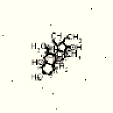 CCC1C(CC)[C@H]2[C@@H]3C(CC)CC4(O)CC(O)CC[C@]4(C)[C@@H]3CC[C@]2(C)C1O